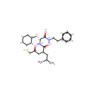 CC(C)CC(CC(=O)CS)C(=O)N[C@H](CC1CCCCC1)C(=O)NCCc1ccccc1